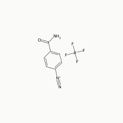 F[B-](F)(F)F.N#[N+]c1ccc(C(N)=O)cc1